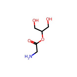 NCC(=O)OC(CO)CO